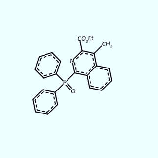 CCOC(=O)c1nc(P(=O)(c2ccccc2)c2ccccc2)c2ccccc2c1C